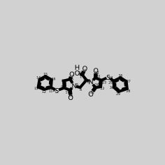 O=C(O)C(CN1C(=O)C=C(Sc2ccccc2)C1=O)N1C(=O)C=C(Sc2ccccc2)C1=O